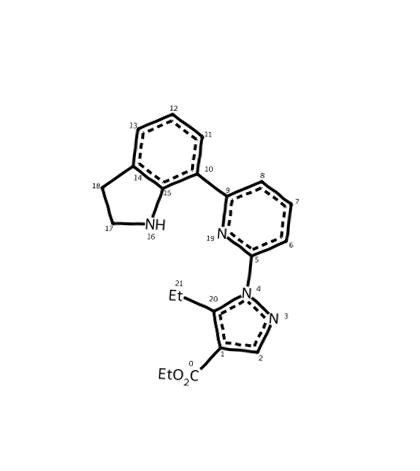 CCOC(=O)c1cnn(-c2cccc(-c3cccc4c3NCC4)n2)c1CC